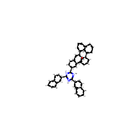 c1ccc(-c2cccc3cccc(-c4ccc5cc(-c6nc(-c7ccc8ccccc8c7)nc(-c7ccc8ccccc8c7)n6)ccc5c4)c23)cc1